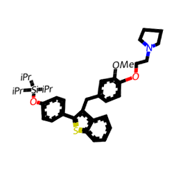 COc1cc(Cc2c(-c3ccc(O[Si](C(C)C)(C(C)C)C(C)C)cc3)sc3ccccc23)ccc1OCCN1CCCC1